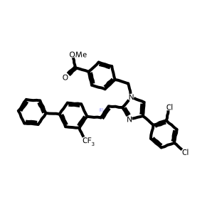 COC(=O)c1ccc(Cn2cc(-c3ccc(Cl)cc3Cl)nc2/C=C/c2ccc(-c3ccccc3)cc2C(F)(F)F)cc1